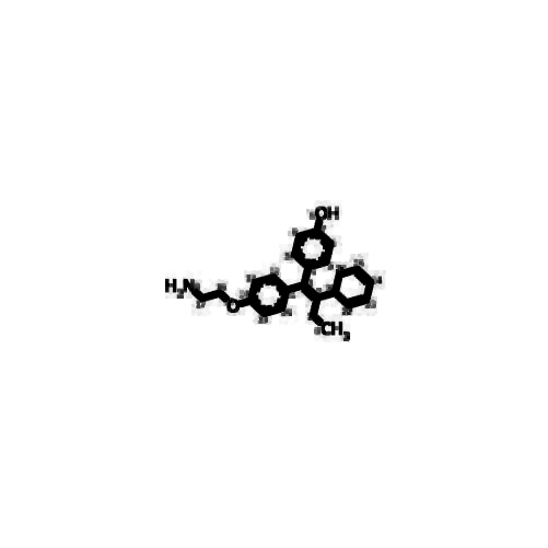 CC/C(=C(/c1ccc(O)cc1)c1ccc(OCCN)cc1)C1C=CC=CC1